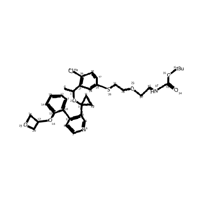 CC(OC1(c2cnccc2-c2ccccc2OC2COC2)CC1)c1cc(SCCOCCNC(=O)OC(C)(C)C)ccc1Cl